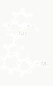 COc1ccc2c(c1)-c1sc(C(=O)Nc3c(F)cccc3F)cc1CCC2